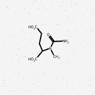 CN(C(N)=O)C(CCC(=O)O)C(=O)O